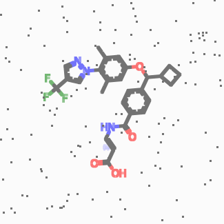 Cc1cc(OC(c2ccc(C(=O)N/C=C/C(=O)O)cc2)C2CCC2)cc(C)c1-n1cc(C(F)(F)F)cn1